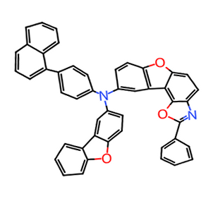 c1ccc(-c2nc3ccc4oc5ccc(N(c6ccc(-c7cccc8ccccc78)cc6)c6ccc7oc8ccccc8c7c6)cc5c4c3o2)cc1